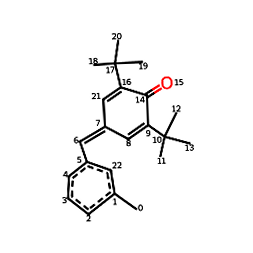 Cc1cccc(C=C2C=C(C(C)(C)C)C(=O)C(C(C)(C)C)=C2)c1